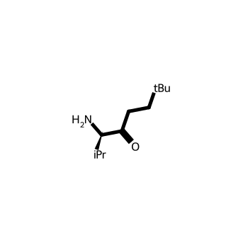 CC(C)[C@@H](N)C(=O)CCC(C)(C)C